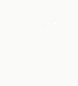 O=S(=O)(O)c1cccc2c1[C]2